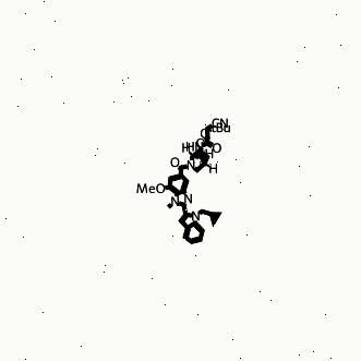 COc1cc(C(=O)N2C[C@H]3C[C@H](OCCC#N)[C@@H]2[C@@H]3NC(=O)OC(C)(C)C)cc2nc(-c3cc4ccccc4n3CC3CC3)n(C)c12